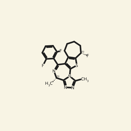 Cc1nnc2n1-c1sc3c(c1C(c1c(F)cccc1F)=N[C@H]2C)CCCC[C@@H]3F